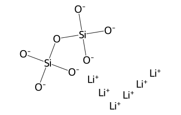 [Li+].[Li+].[Li+].[Li+].[Li+].[Li+].[O-][Si]([O-])([O-])O[Si]([O-])([O-])[O-]